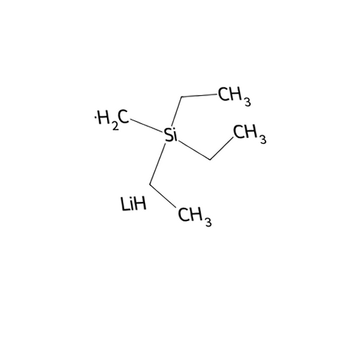 [CH2][Si](CC)(CC)CC.[LiH]